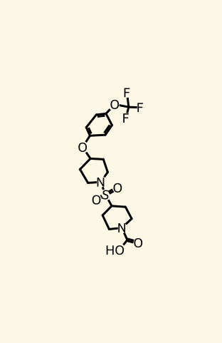 O=C(O)N1CCC(S(=O)(=O)N2CCC(Oc3ccc(OC(F)(F)F)cc3)CC2)CC1